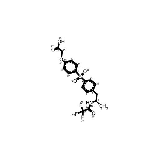 C[C@H](Cc1ccc(S(=O)(=O)c2ccc(OCC(=O)O)cc2)cc1)NC(=O)C(F)(F)F